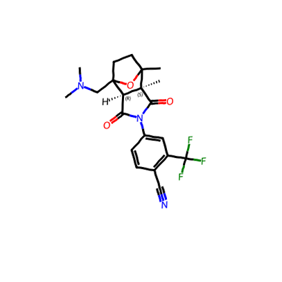 CN(C)CC12CCC(C)(O1)[C@@]1(C)C(=O)N(c3ccc(C#N)c(C(F)(F)F)c3)C(=O)[C@@H]21